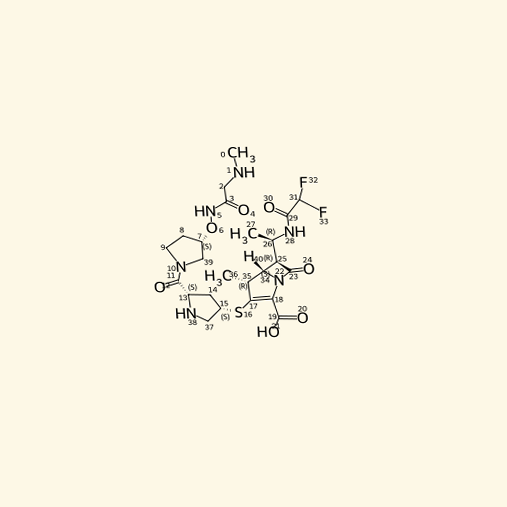 CNCC(=O)NO[C@H]1CCN(C(=O)[C@@H]2C[C@H](SC3=C(C(=O)O)N4C(=O)[C@H]([C@@H](C)NC(=O)C(F)F)[C@H]4[C@H]3C)CN2)C1